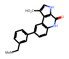 CNCc1cccc(-c2ccc3[nH]c(=O)c4[nH]cc(C(=O)O)c4c3c2)c1